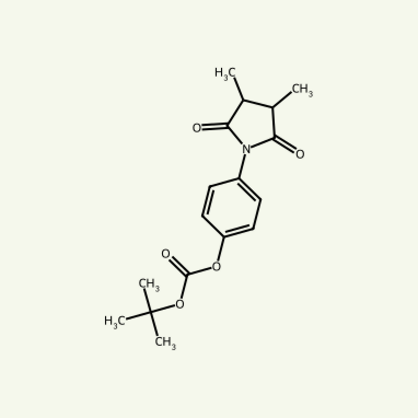 CC1C(=O)N(c2ccc(OC(=O)OC(C)(C)C)cc2)C(=O)C1C